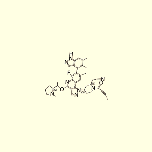 CC#CC(=O)N1CC[C@H](n2ncc3c(OC(C)[C@@H]4CCCN4C)nc4c(F)c(-c5c(C)c(C)cc6[nH]ncc56)c(C)cc4c32)C[C@H]1CC#N